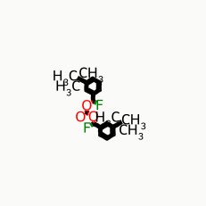 CC(C)(C)c1cccc(C(F)OC(=O)OC(F)c2cccc(C(C)(C)C)c2)c1